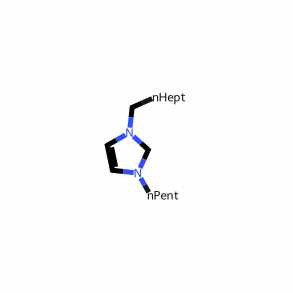 CCCCCCCCN1C=CN(CCCCC)C1